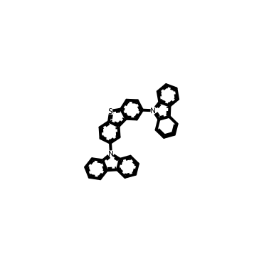 C1=C=Cc2c(c3ccccc3n2-c2ccc3sc4ccc(-n5c6ccccc6c6ccccc65)cc4c3c2)C=1